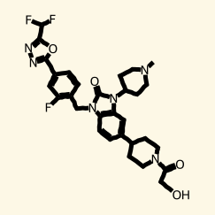 CN1CCC(n2c(=O)n(Cc3ccc(-c4nnc(C(F)F)o4)cc3F)c3ccc(C4CCN(C(=O)CO)CC4)cc32)CC1